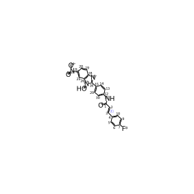 O=C(/C=C/c1ccc(F)cc1)Nc1ccc(-c2nc3ccc([N+](=O)[O-])cc3n2O)cc1